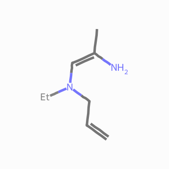 C=CCN(/C=C(/C)N)CC